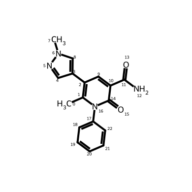 Cc1c(-c2cnn(C)c2)cc(C(N)=O)c(=O)n1-c1ccccc1